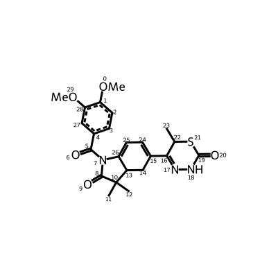 COc1ccc(C(=O)N2C(=O)C(C)(C)C3CC(C4=NNC(=O)SC4C)=CC=C32)cc1OC